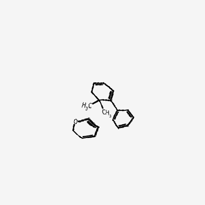 C1=CCOC=C1.CC1(C)CC=CC=C1c1ccccc1